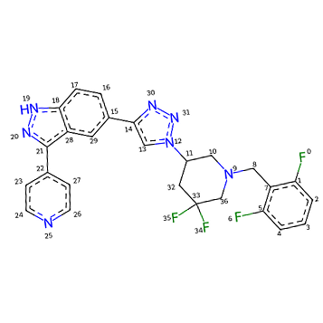 Fc1cccc(F)c1CN1CC(n2cc(-c3ccc4[nH]nc(-c5ccncc5)c4c3)nn2)CC(F)(F)C1